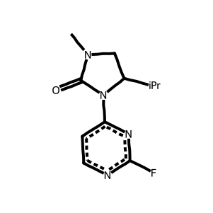 CC(C)C1CN(C)C(=O)N1c1ccnc(F)n1